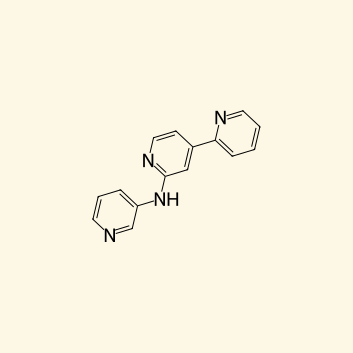 c1ccc(-c2ccnc(Nc3cccnc3)c2)nc1